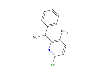 N#CC(c1ccccc1)c1nc(Br)ccc1[N+](=O)[O-]